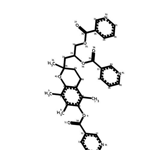 Cc1c(C)c2c(c(C)c1OC(=O)c1cccnc1)CCC(C)(CC(COC(=O)c1cccnc1)OC(=O)c1cccnc1)O2